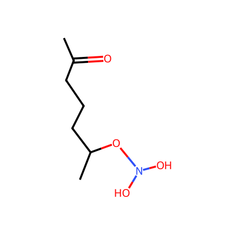 CC(=O)CCCC(C)ON(O)O